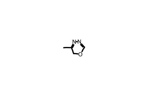 CC1=NN=COC1